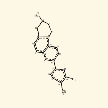 CCCCC1CCc2c(ccc3cc(-c4ccc(C#N)c(F)c4)ccc23)C1